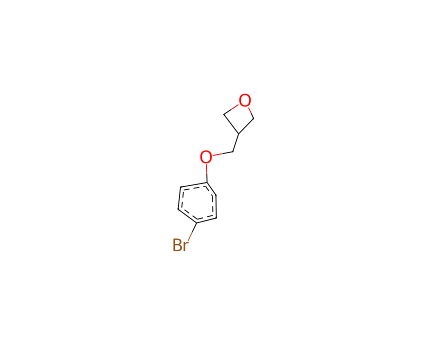 Brc1ccc(OCC2COC2)cc1